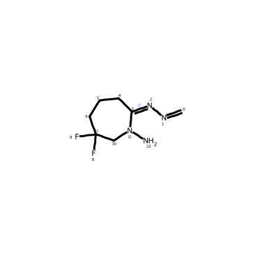 C=N/N=C1/CCCC(F)(F)CN1N